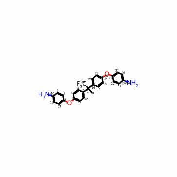 CC(c1ccc(Oc2ccc(N)cc2)cc1)(c1ccc(Oc2ccc(N)cc2)cc1)C(F)(F)F